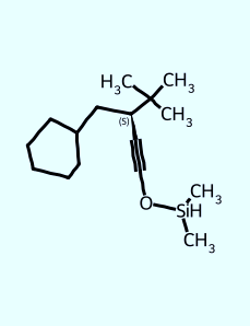 C[SiH](C)OC#C[C@@H](CC1CCCCC1)C(C)(C)C